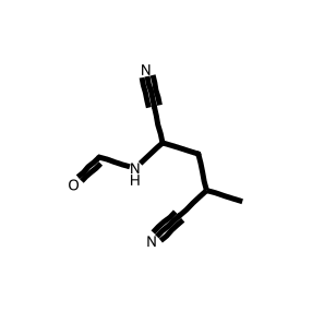 CC(C#N)CC(C#N)NC=O